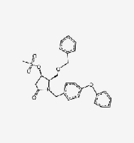 CS(=O)(=O)O[C@@H]1CC(=O)N(Cc2ccc(Oc3ccccc3)cc2)[C@@H]1COCc1ccccc1